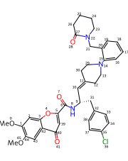 COc1cc2oc(C(=O)N[C@H](C=C3CCN(c4ccccc4CN4CCCCC4=O)CC3)Cc3ccc(Cl)cc3)cc(=O)c2cc1OC